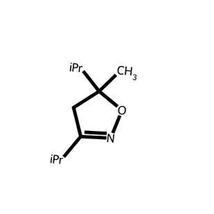 CC(C)C1=NOC(C)(C(C)C)C1